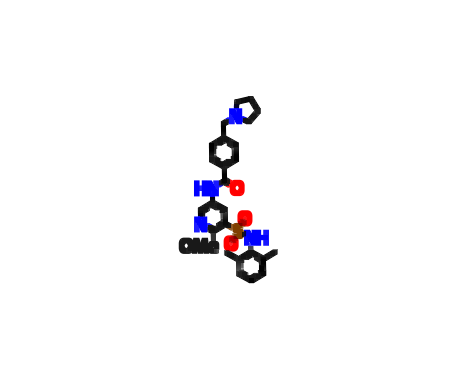 COc1ncc(NC(=O)c2ccc(CN3CCCC3)cc2)cc1S(=O)(=O)Nc1c(C)cccc1C